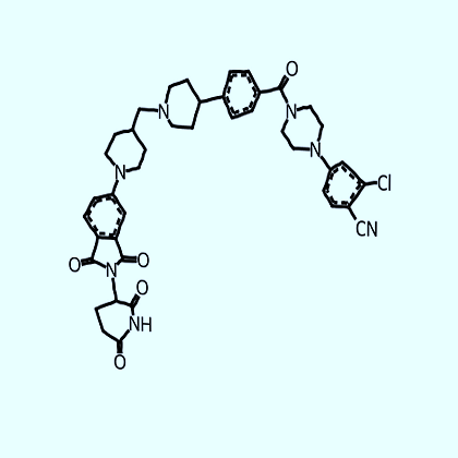 N#Cc1ccc(N2CCN(C(=O)c3ccc(C4CCN(CC5CCN(c6ccc7c(c6)C(=O)N(C6CCC(=O)NC6=O)C7=O)CC5)CC4)cc3)CC2)cc1Cl